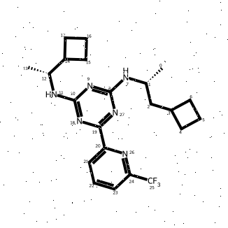 C[C@H](CC1CCC1)Nc1nc(N[C@H](C)C2CCC2)nc(-c2cccc(C(F)(F)F)n2)n1